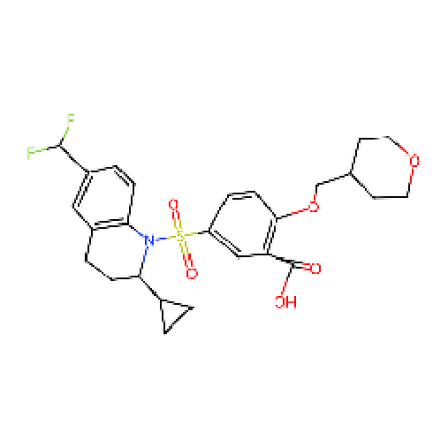 O=C(O)c1cc(S(=O)(=O)N2c3ccc(C(F)F)cc3CCC2C2CC2)ccc1OCC1CCOCC1